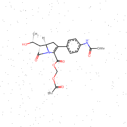 COC(=O)Nc1ccc(C2=C(C(=O)OCOC(=O)C(C)(C)C)N3C(=O)[C@H]([C@@H](C)O)[C@H]3C2)cc1